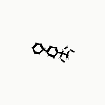 COC(=O)C(OC)(OC)c1ccc(-c2ccccc2)cc1